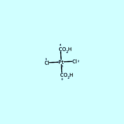 O=[C](O)[Pt]([Cl])([Cl])[C](=O)O